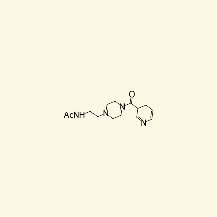 CC(=O)NCCN1CCN(C(=O)C2C=NC=CC2)CC1